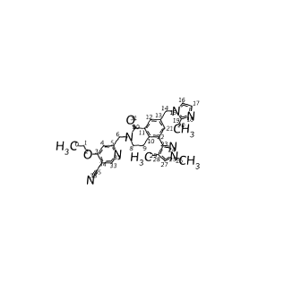 CCOc1cc(CN2CCc3c(cc(Cn4ccnc4C)cc3-c3nn(C)cc3C)C2=O)ncc1C#N